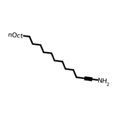 CCCCCCCCCCCCCCCCCCC#CN